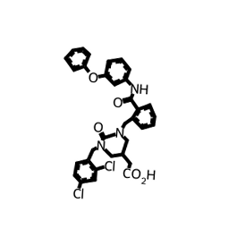 O=C(O)CC1CN(Cc2ccc(Cl)cc2Cl)C(=O)N(Cc2ccccc2C(=O)Nc2cccc(Oc3ccccc3)c2)C1